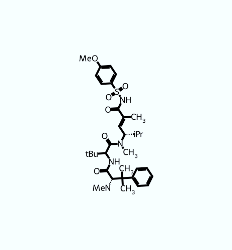 CN[C@H](C(=O)NC(C(=O)N(C)[C@H](/C=C(\C)C(=O)NS(=O)(=O)c1ccc(OC)cc1)C(C)C)C(C)(C)C)C(C)(C)c1ccccc1